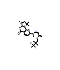 C=C(/C=C\N(C)c1ccc2c(n1)N1C(OC2=O)[C@@H](C)CC1(C)C)OCC(C)(C)C(F)(F)I